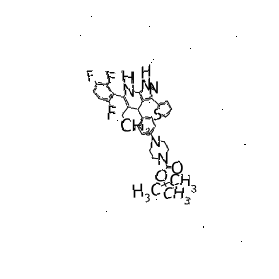 CCC1=C(c2c(F)ccc(F)c2F)Nc2[nH]nc(-c3cccs3)c2C1c1ccc(N2CCN(C(=O)OC(C)(C)C)CC2)cc1